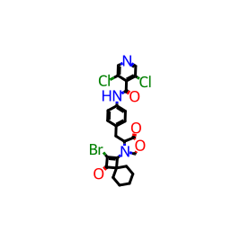 O=C(Nc1ccc(CC2C(=O)OCN2C2=C(Br)C(=O)C23CCCCC3)cc1)c1c(Cl)cncc1Cl